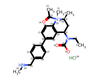 CCN(C(=O)[O-])C1C[C@H](C)[N@+](C)(C(C)=O)c2ccc(-c3ccc(CNC)cc3)cc21.Cl